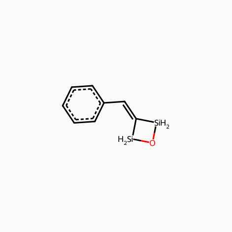 C(=C1[SiH2]O[SiH2]1)c1ccccc1